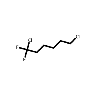 FC(F)(Cl)CCCCCCl